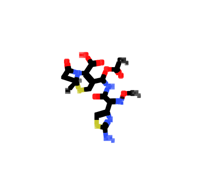 CON=C(C(=O)NC(OC(C)=O)C1=C(C(=O)O)N2C(=O)C[C@H]2SC1)c1csc(N)n1